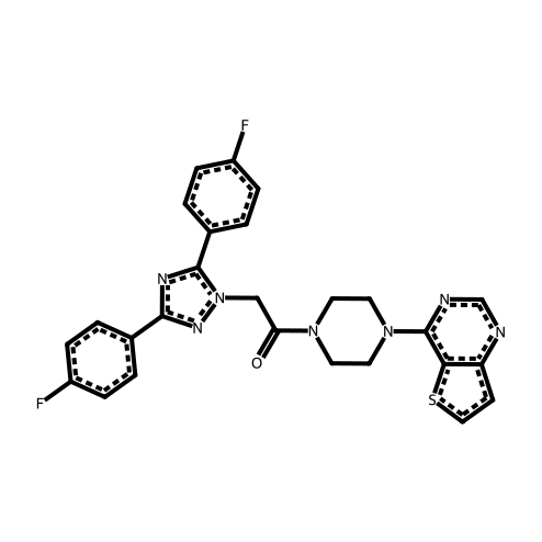 O=C(Cn1nc(-c2ccc(F)cc2)nc1-c1ccc(F)cc1)N1CCN(c2ncnc3ccsc23)CC1